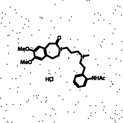 COc1cc2c(cc1OC)CC(=O)N(CCCN(C)CCc1ccccc1NC(C)=O)CC2.Cl